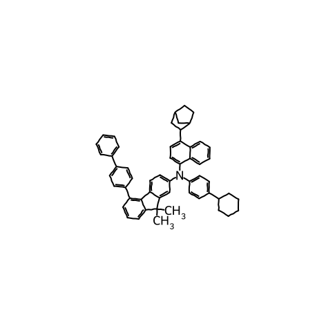 CC1(C)c2cc(N(c3ccc(C4CCCCC4)cc3)c3ccc(C4CC5CCC4C5)c4ccccc34)ccc2-c2c(-c3ccc(-c4ccccc4)cc3)cccc21